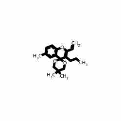 C=CC1=C(CCC)C2(OCC(C)(C)CO2)c2cc(C)ccc2O1